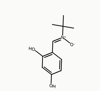 CC(C)(C)[N+]([O-])=Cc1ccc(O)cc1O